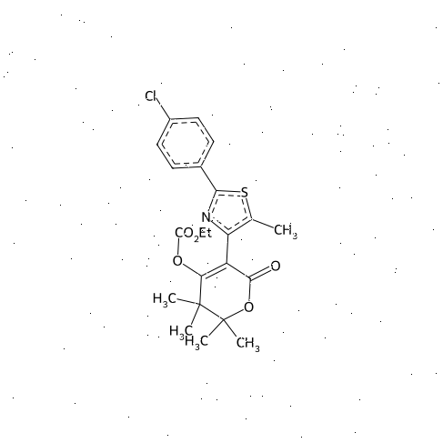 CCOC(=O)OC1=C(c2nc(-c3ccc(Cl)cc3)sc2C)C(=O)OC(C)(C)C1(C)C